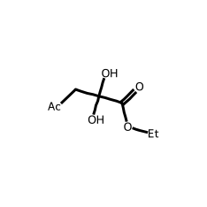 CCOC(=O)C(O)(O)CC(C)=O